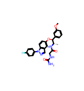 COc1cccc([C@H](Oc2ccc3c(cnn3-c3ccc(F)cc3)c2)[C@H](C)NC(=O)CNC(N)=O)c1